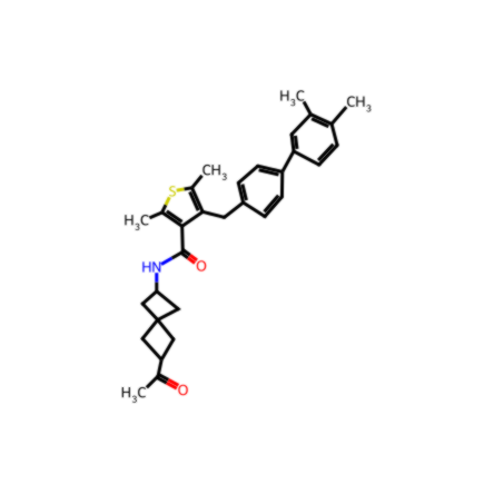 CC(=O)C1CC2(CC(NC(=O)c3c(C)sc(C)c3Cc3ccc(-c4ccc(C)c(C)c4)cc3)C2)C1